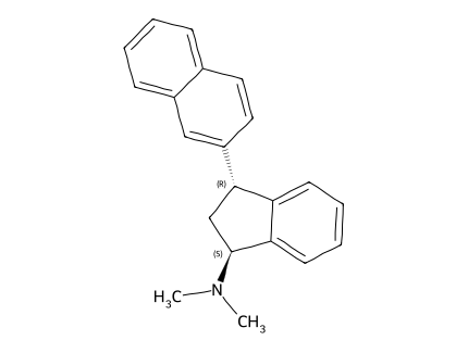 CN(C)[C@H]1C[C@H](c2ccc3ccccc3c2)c2ccccc21